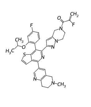 C=C(F)C(=O)N1CCn2nc(-c3nc(-c4cnc5c(c4)CN(C)CC5)c4ccsc4c3-c3ccc(F)cc3OC(C)C)cc2C1